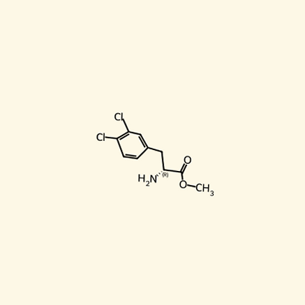 COC(=O)[C@H](N)Cc1ccc(Cl)c(Cl)c1